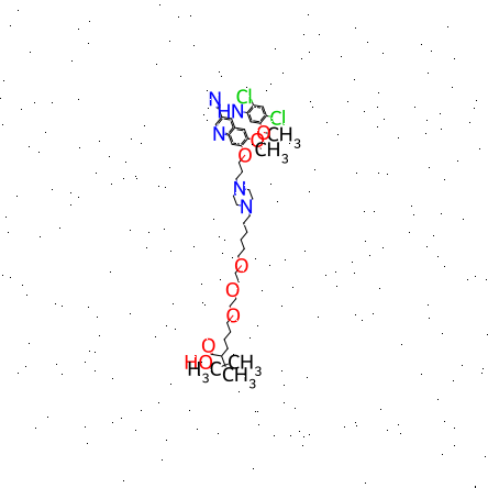 COc1cc(Nc2c(C#N)cnc3cc(OCCCN4CCN(CCCCCCOCCOCCOCCCCC(C(=O)O)C(C)(C)C)CC4)c(OC)cc23)c(Cl)cc1Cl